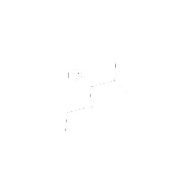 CCOC(N)C(C)C